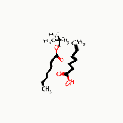 CCCCCCC(=O)O.CCCCCCC(=O)OCC(C)(C)C